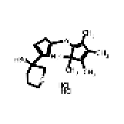 CCCCC1(C2=CC[C]([Zr][C]3=C(C)C(C)=C(C)C3(C)C)=C2)CCCCC1.Cl.Cl